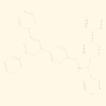 c1ccc(-c2ccc3c(c2)c(-c2ccc(-c4cc(-c5ccccc5)nc(-c5ccccc5)n4)cc2)c2oc4ccccc4n23)cc1